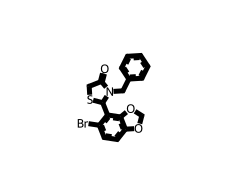 O=C1CSC(c2c(Br)ccc3c2OCO3)N1Cc1ccccc1